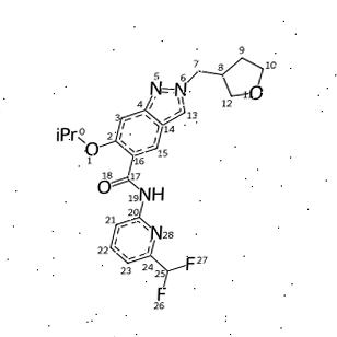 CC(C)Oc1cc2nn(CC3CCOC3)cc2cc1C(=O)Nc1cccc(C(F)F)n1